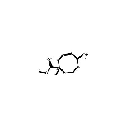 COC(=O)C1(C)CC=CC(O)CCC1